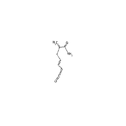 C=C(CC=CN=C=O)C(N)=O